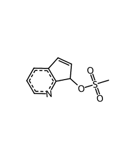 CS(=O)(=O)OC1C=Cc2cccnc21